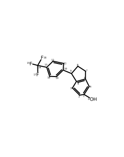 Oc1ccc2c(c1)CCC2c1ccc(C(F)(F)F)cc1